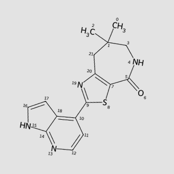 CC1(C)CNC(=O)c2sc(-c3ccnc4[nH]ccc34)nc2C1